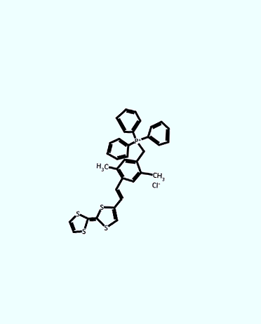 Cc1cc(C[P+](c2ccccc2)(c2ccccc2)c2ccccc2)c(C)cc1C=CC1=CSC(=C2SC=CS2)S1.[Cl-]